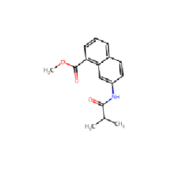 COC(=O)c1cccc2ccc(NC(=O)C(C)C)cc12